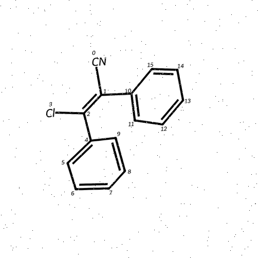 N#CC(=C(Cl)c1ccccc1)c1ccccc1